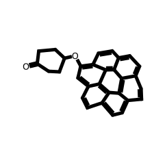 O=C1CCC(Oc2cc3ccc4ccc5ccc6ccc7ccc2c2c7c6c5c4c32)CC1